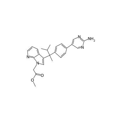 COC(=O)Cn1cc(C(C)(c2ccc(-c3cnc(N)nc3)cc2)C(C)C)c2cccnc21